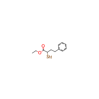 CCOC(=O)C(S)CCc1ccccc1